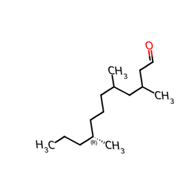 CCC[C@@H](C)CCCC(C)CC(C)CC=O